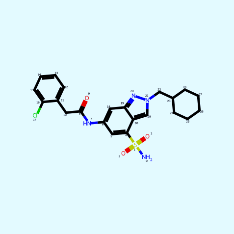 NS(=O)(=O)c1cc(NC(=O)Cc2ccccc2Cl)cc2nn(CC3CCCCC3)cc12